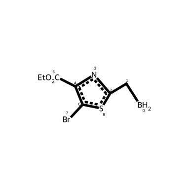 BCc1nc(C(=O)OCC)c(Br)s1